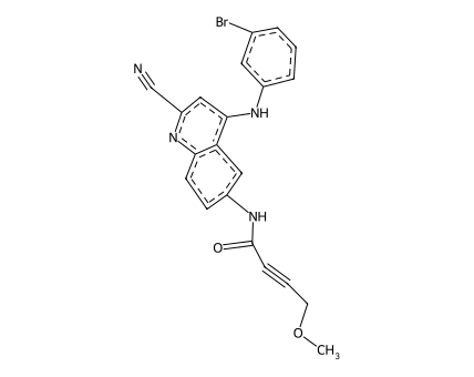 COCC#CC(=O)Nc1ccc2nc(C#N)cc(Nc3cccc(Br)c3)c2c1